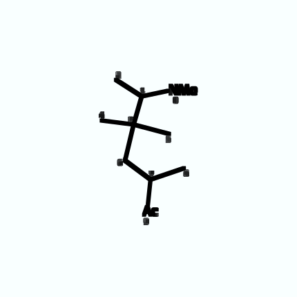 CNC(C)C(C)(C)CC(C)C(C)=O